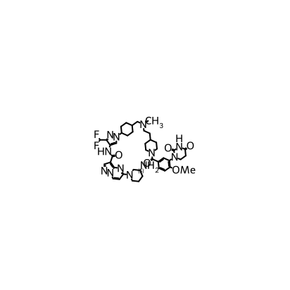 COc1ccc(C(=O)N2CCC(CCN(C)CC3CCC(n4cc(NC(=O)c5cnn6ccc(N7CCC[C@H](N)C7)nc56)c(C(F)F)n4)CC3)CC2)cc1N1CCC(=O)NC1=O